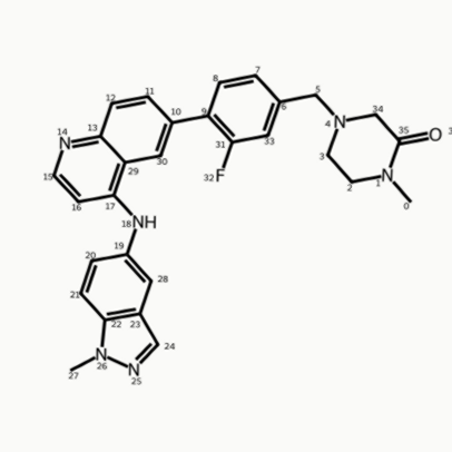 CN1CCN(Cc2ccc(-c3ccc4nccc(Nc5ccc6c(cnn6C)c5)c4c3)c(F)c2)CC1=O